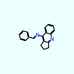 C(=N\c1c2c(nc3ccccc13)CCC2)/c1ccccc1